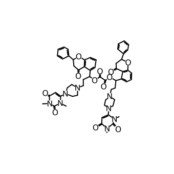 Cn1c(N2CCN(CCC(OC(=O)C(=O)OC(CCN3CCN(c4cc(=O)n(C)c(=O)n4C)CC3)c3cccc4c3C(=O)CC(c3ccccc3)O4)c3cccc4c3C(=O)CC(c3ccccc3)O4)CC2)cc(=O)n(C)c1=O